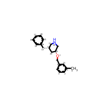 Cc1cccc(CO[C@H]2CNC[C@@H](Cc3ccccc3)C2)c1